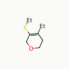 CCSC1=C(CC)CCOC1